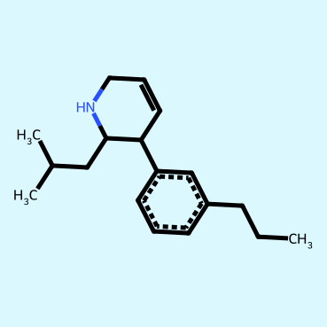 CCCc1cccc(C2C=CCNC2C[C](C)C)c1